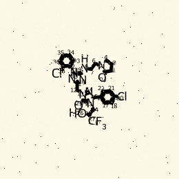 O=C1CCCN1CCNc1nc(Cn2nc(-c3ccc(Cl)cc3)n(CC(O)C(F)(F)F)c2=O)nn1-c1ccccc1Cl